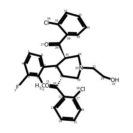 Cc1c(F)cccc1C1[C@@H](C(=O)c2ccccc2Cl)CN(CCO)C[C@@H]1C(=O)c1ccccc1Cl